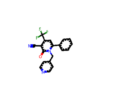 N#Cc1c(C(F)(F)F)cc(-c2ccccc2)n(Cc2ccncc2)c1=O